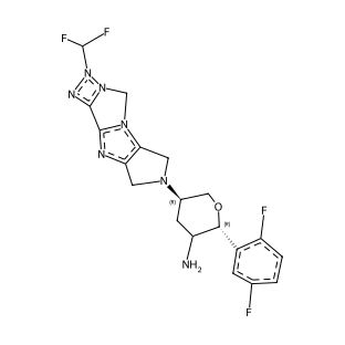 NC1C[C@@H](N2Cc3nc4n(c3C2)Cn2c-4nn2C(F)F)CO[C@@H]1c1cc(F)ccc1F